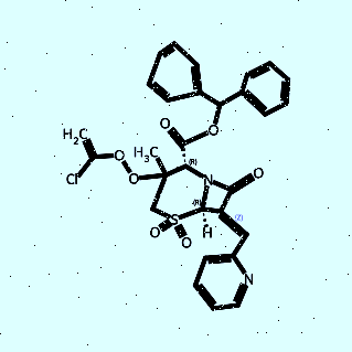 C=C(Cl)OOC1(C)CS(=O)(=O)[C@@H]2/C(=C\c3ccccn3)C(=O)N2[C@H]1C(=O)OC(c1ccccc1)c1ccccc1